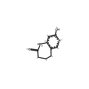 O=C1CCCc2cnc(O)cc2N1